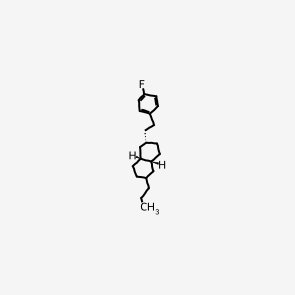 CCCC1CC[C@@H]2C[C@H](CCc3ccc(F)cc3)CC[C@@H]2C1